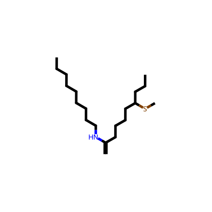 C=C(CCCCC(CCC)SC)NCCCCCCCCC